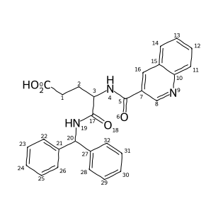 O=C(O)CCC(NC(=O)c1cnc2ccccc2c1)C(=O)NC(c1ccccc1)c1ccccc1